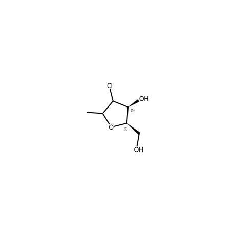 CC1O[C@H](CO)[C@H](O)C1Cl